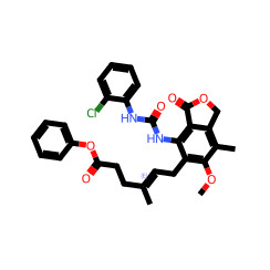 COc1c(C)c2c(c(NC(=O)Nc3ccccc3Cl)c1C/C=C(\C)CCC(=O)Oc1ccccc1)C(=O)OC2